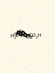 C[C@]12CC[C@](O)(CCC(=O)O)CC1=CC[C@@H]1[C@@H]2CC[C@]2(C)C(=O)CC[C@@H]12